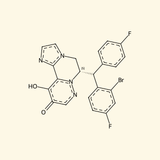 O=c1cnn2c(c1O)-c1nccn1C[C@@H]2C(c1ccc(F)cc1)c1ccc(F)cc1Br